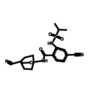 CC(C)S(=O)(=O)Nc1cc(C#N)ccc1C(=O)NC12CCC(C#N)(CC1)CC2